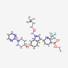 CCOC(=O)c1ccc(-c2cn(COCC[Si](C)(C)C)c3cc(OC4CCN(c5ncccn5)CC4)ccc23)nc1C(F)(F)F